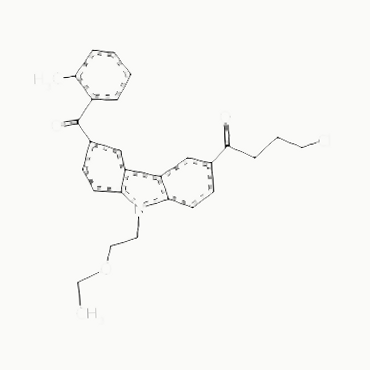 CCOCCn1c2ccc(C(=O)CCCCl)cc2c2cc(C(=O)c3ccccc3C)ccc21